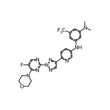 CN(C)c1cc(Nc2ccc(-c3cnn(-c4ncc(F)c(N5CCOCC5)n4)n3)nc2)cc(C(F)(F)F)c1